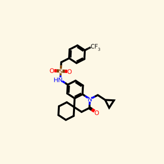 O=C1CC2(CCCCC2)c2cc(NS(=O)(=O)Cc3ccc(C(F)(F)F)cc3)ccc2N1CC1CC1